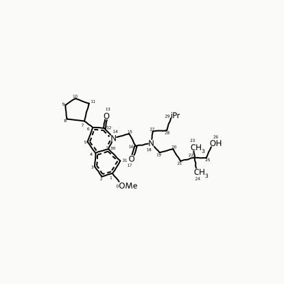 COc1ccc2cc(C3CCCC3)c(=O)n(CC(=O)N(CCCC(C)(C)CO)CCC(C)C)c2c1